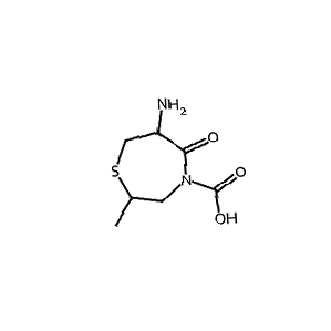 CC1CN(C(=O)O)C(=O)C(N)CS1